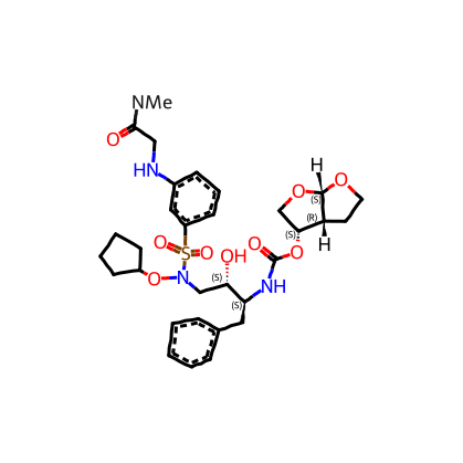 CNC(=O)CNc1cccc(S(=O)(=O)N(C[C@H](O)[C@H](Cc2ccccc2)NC(=O)O[C@@H]2CO[C@@H]3OCC[C@@H]32)OC2CCCC2)c1